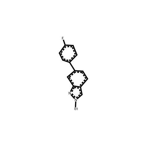 CCn1cc2ccc(-c3ccc(F)cc3)cc2n1